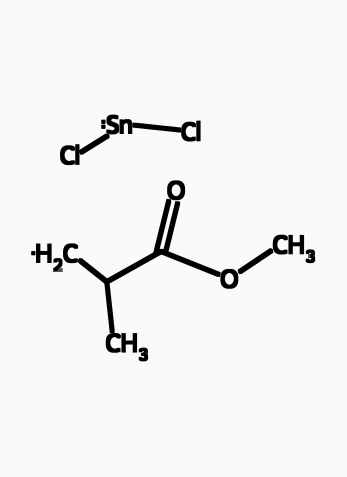 [CH2]C(C)C(=O)OC.[Cl][Sn][Cl]